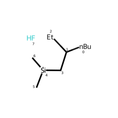 CCCCC(CC)C[Si](C)C.F